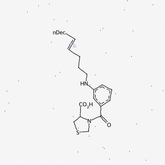 CCCCCCCCCC/C=C/CCCNc1cccc(C(=O)N2CSCC2C(=O)O)c1